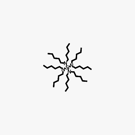 CCCCCN(CCCCC)[Si](N(CCCCC)CCCCC)(N(CCCCC)CCCCC)N(CCCCC)CCCCC